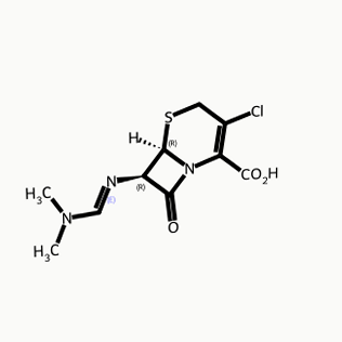 CN(C)/C=N/[C@@H]1C(=O)N2C(C(=O)O)=C(Cl)CS[C@H]12